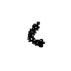 CS(=O)(=O)N1CCN(Cc2ccc(OC3CCN(c4ccc(F)cn4)CC3)cc2)CC1